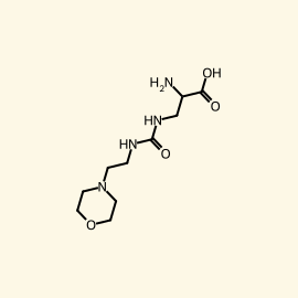 NC(CNC(=O)NCCN1CCOCC1)C(=O)O